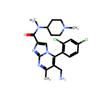 Cc1nc2nc(C(=O)N(C)C3CCN(C)CC3)cn2c(-c2ccc(Cl)cc2Cl)c1CN